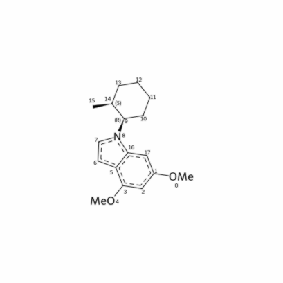 COc1cc(OC)c2ccn([C@@H]3CCCC[C@@H]3C)c2c1